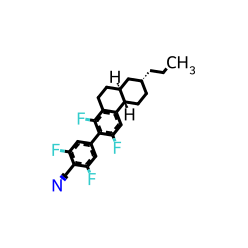 CCC[C@@H]1CC[C@@H]2c3cc(F)c(-c4cc(F)c(C#N)c(F)c4)c(F)c3CC[C@H]2C1